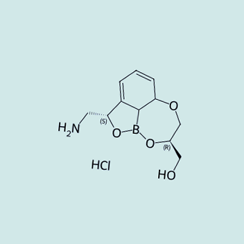 Cl.NC[C@H]1OB2O[C@H](CO)COC3C=CC=C1C23